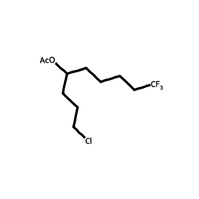 CC(=O)OC(CCCCl)CCCCC(F)(F)F